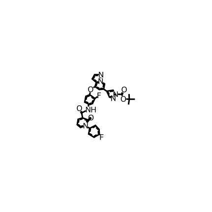 CC(C)(C)OC(=O)n1cc(-c2cc(Oc3ccc(NC(=O)c4cccn(-c5ccc(F)cc5)c4=O)cc3F)c3ccnn3c2)cn1